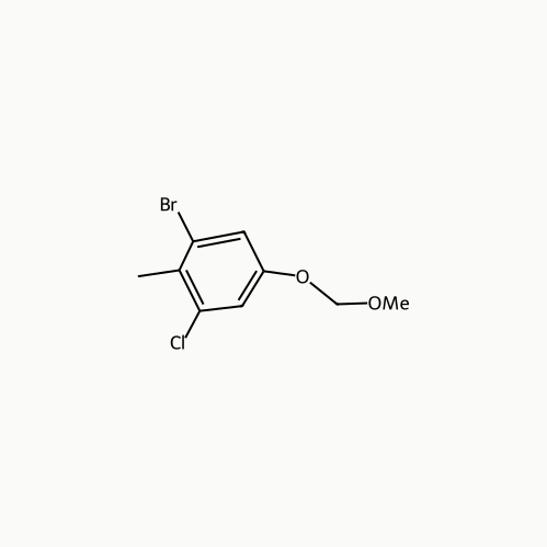 COCOc1cc(Cl)c(C)c(Br)c1